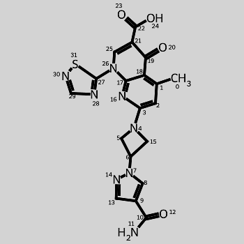 Cc1cc(N2CC(n3cc(C(N)=O)cn3)C2)nc2c1c(=O)c(C(=O)O)cn2-c1ncns1